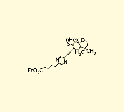 CCCCCCSc1cc2c(cc1C#Cc1cnc(CCCCC(=O)OCC)cn1)C(C)(C)CCO2